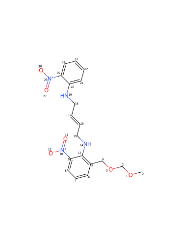 COCOCc1cccc([N+](=O)[O-])c1NC/C=C/CNc1ccccc1[N+](=O)[O-]